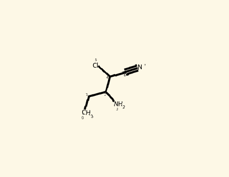 CCC(N)C(Cl)C#N